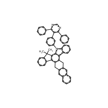 CC1(C)c2ccccc2-c2c3c(c4c5ccccc5n(-c5cccc(-c6c(-c7ccccc7)ncnc6-c6ccccc6)c5)c4c21)Cc1cc2ccccc2cc1C3